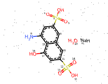 Nc1cc(S(=O)(=O)O)cc2cc(S(=O)(=O)O)cc(O)c12.O.[NaH]